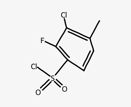 Cc1ccc(S(=O)(=O)Cl)c(F)c1Cl